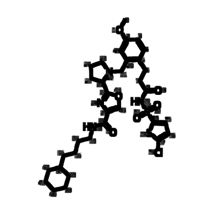 COc1ccc(CCC(=O)NS(=O)(=O)c2ccc(Cl)s2)c(CN2CCCC2c2nc(C(=O)NCCCCC3CCCCC3)co2)c1